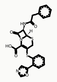 O=C(Cc1ccccc1)N[C@@H]1C(=O)N2C(C(=O)O)=C(Sc3ccccc3-c3cnco3)CS[C@H]12